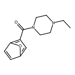 CCN1CCN(C(=O)c2cc3ccc2o3)CC1